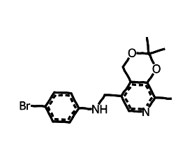 Cc1ncc(CNc2ccc(Br)cc2)c2c1OC(C)(C)OC2